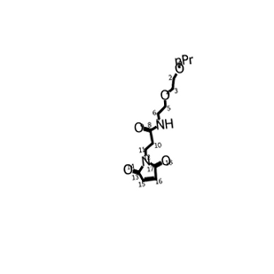 CCCOCCOCCNC(=O)CCN1C(=O)C=CC1=O